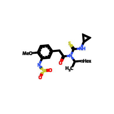 CCCCCCC(C)N(C(=O)Cc1ccc(OC)c(N=S(=O)=O)c1)C(=S)NC1CC1